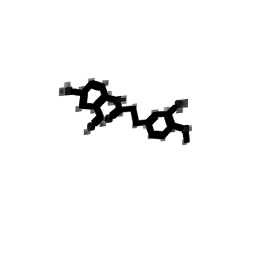 COc1ccc(CCC(=O)Nc2ccc(O)cc2C=O)cc1O